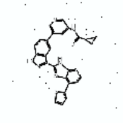 O=C(Nc1cncc(-c2ccc3[nH]nc(-c4nc5c(-c6cccs6)ccnc5[nH]4)c3c2)c1)C1CC1